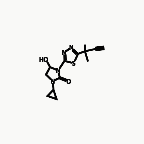 C#CC(C)(C)c1nnc(N2C(=O)N(C3CC3)CC2O)s1